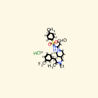 CCN(CC1CCN(C(CC=O)NS(=O)(=O)c2ccc(C)cc2)CC1)C(C)Cc1cccc(C(F)(F)F)c1.Cl